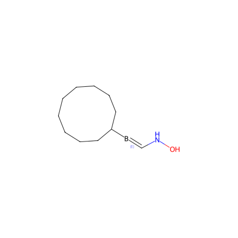 ON/C=B/C1CCCCCCCCC1